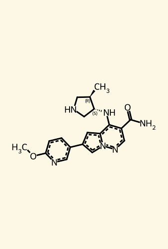 COc1ccc(-c2cc3c(N[C@@H]4CNC[C@H]4C)c(C(N)=O)cnn3c2)cn1